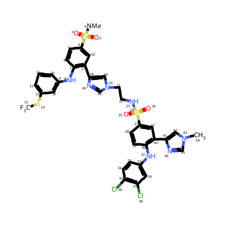 CNS(=O)(=O)c1ccc(Nc2cccc(SC(F)(F)F)c2)c(-c2cn(CCNS(=O)(=O)c3ccc(Nc4ccc(Cl)c(Cl)c4)c(-c4cn(C)cn4)c3)cn2)c1